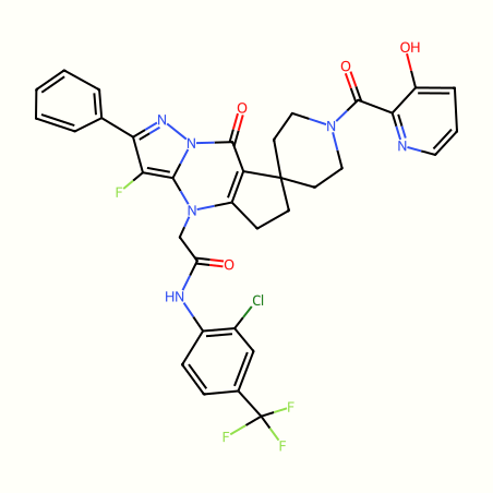 O=C(Cn1c2c(c(=O)n3nc(-c4ccccc4)c(F)c13)C1(CC2)CCN(C(=O)c2ncccc2O)CC1)Nc1ccc(C(F)(F)F)cc1Cl